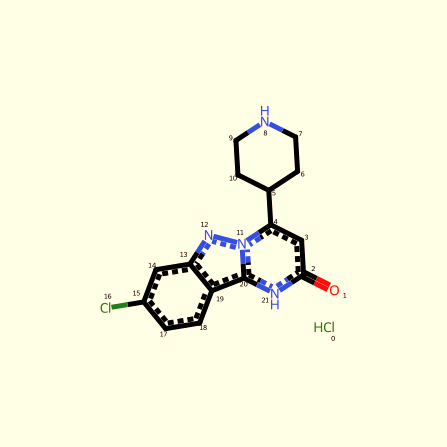 Cl.O=c1cc(C2CCNCC2)n2nc3cc(Cl)ccc3c2[nH]1